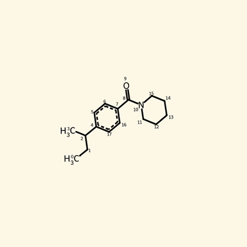 CCC(C)c1ccc(C(=O)N2CCCCC2)cc1